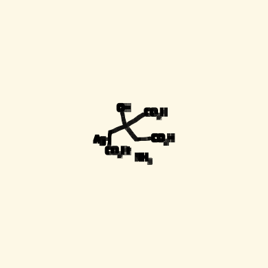 CCOC(=O)CC(O)(CC(=O)O)C(=O)O.N.[Ag]